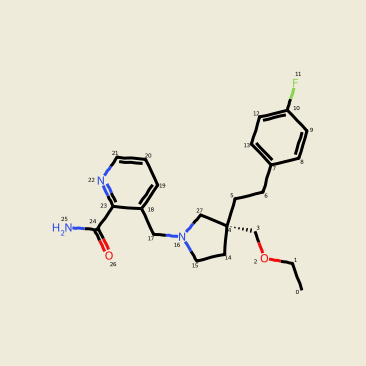 CCOC[C@]1(CCc2ccc(F)cc2)CCN(Cc2cccnc2C(N)=O)C1